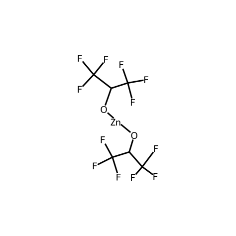 FC(F)(F)C([O][Zn][O]C(C(F)(F)F)C(F)(F)F)C(F)(F)F